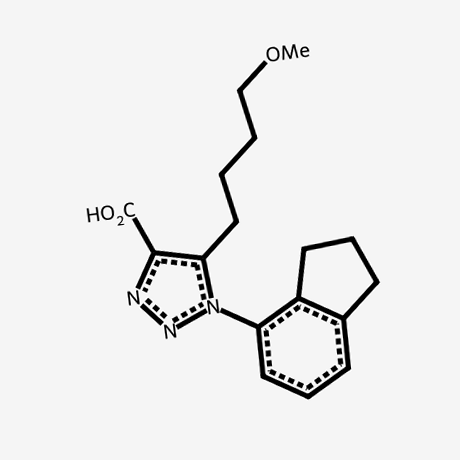 COCCCCc1c(C(=O)O)nnn1-c1cccc2c1CCC2